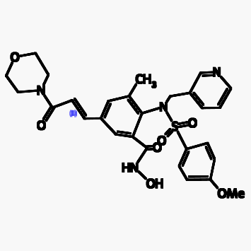 COc1ccc(S(=O)(=O)N(Cc2cccnc2)c2c(C)cc(/C=C/C(=O)N3CCOCC3)cc2C(=O)NO)cc1